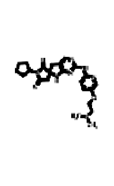 CN(C)CCOc1ccc(Nc2ncc3c(n2)NC2(CC(=O)N(C4CCCC4)C2=O)C3)nc1